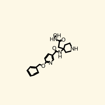 O=C(CC1(NC(=O)c2ccc(OCc3ccccc3)nc2)CCNCC1)NO